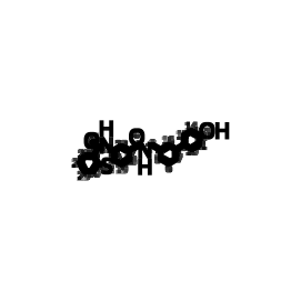 O=C(NCc1cccc(-c2ccc(O)cc2)c1)c1ccc2c(c1)NC(=O)c1ccccc1S2